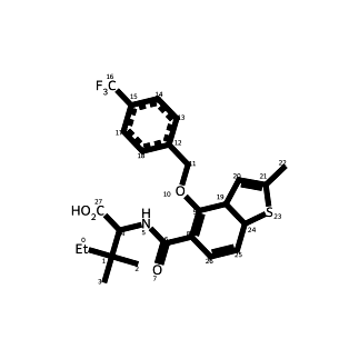 CCC(C)(C)C(NC(=O)C1=C(OCc2ccc(C(F)(F)F)cc2)C2C=C(C)SC2C=C1)C(=O)O